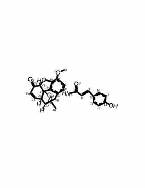 COc1cc(NC(=O)C=Cc2ccc(O)cc2)c2c3c1O[C@H]1C(=O)C=C[C@H]4[C@@H](C2)N(C)CC[C@]314